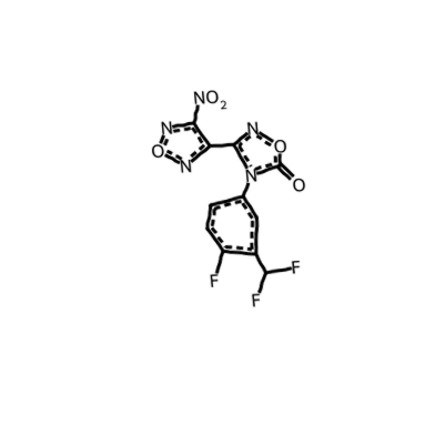 O=c1onc(-c2nonc2[N+](=O)[O-])n1-c1ccc(F)c(C(F)F)c1